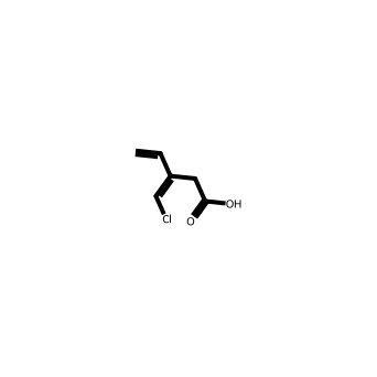 C=CC(=CCl)CC(=O)O